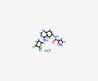 Cl.O=C(Nc1ccc2ncnc(Nc3ccc(F)c(Cl)c3)c2c1)c1ccno1